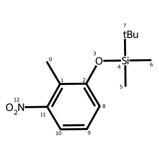 Cc1c(O[Si](C)(C)C(C)(C)C)cccc1[N+](=O)[O-]